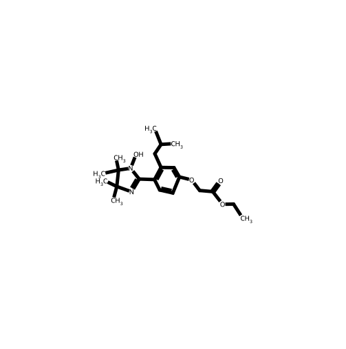 CCOC(=O)COc1ccc(C2=NC(C)(C)C(C)(C)N2O)c(CC(C)C)c1